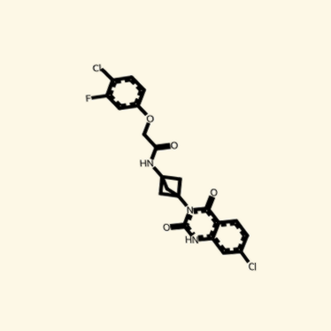 O=C(COc1ccc(Cl)c(F)c1)NC12CC(n3c(=O)[nH]c4cc(Cl)ccc4c3=O)(C1)C2